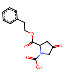 O=C1CC(C(=O)OCCc2ccccc2)N(C(=O)O)C1